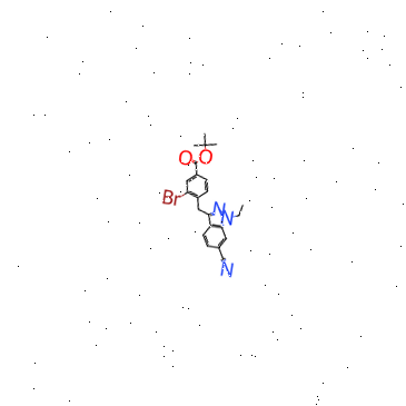 CCn1nc(Cc2ccc(C(=O)OC(C)(C)C)cc2Br)c2ccc(C#N)cc21